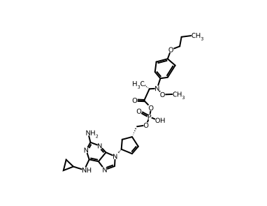 CCCOc1ccc(N(OC)[C@@H](C)C(=O)OP(=O)(O)OC[C@@H]2C=C[C@H](n3cnc4c(NC5CC5)nc(N)nc43)C2)cc1